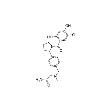 CN(CC(N)=O)Cc1ccc(C2CCCN2C(=O)c2cc(Cl)c(O)cc2O)cc1